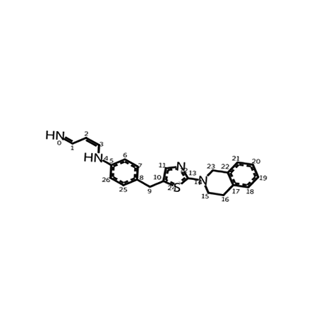 N=C/C=C\Nc1ccc(Cc2cnc(N3CCc4ccccc4C3)s2)cc1